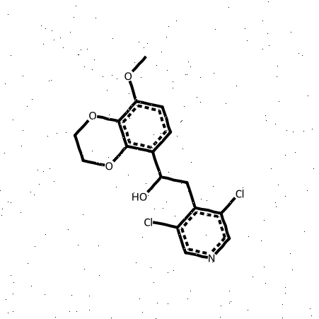 COc1ccc(C(O)Cc2c(Cl)cncc2Cl)c2c1OCCO2